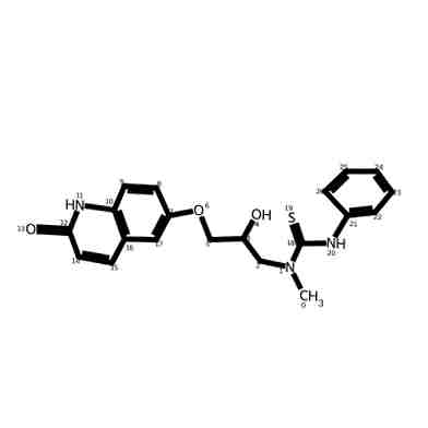 CN(CC(O)COc1ccc2[nH]c(=O)ccc2c1)C(=S)Nc1ccccc1